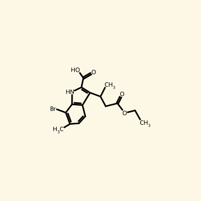 CCOC(=O)CC(C)c1c(C(=O)O)[nH]c2c(Br)c(C)ccc12